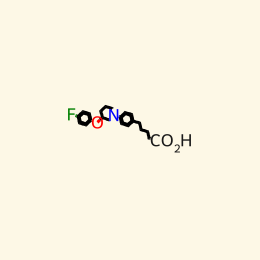 O=C(O)CCCCc1ccc(N2CCCC(Oc3ccc(F)cc3)C2)cc1